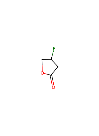 O=C1CC(F)CO1